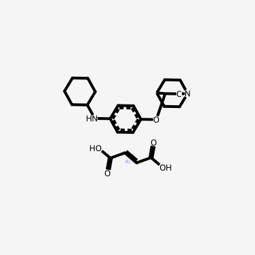 O=C(O)/C=C/C(=O)O.c1cc(OC2CN3CCC2CC3)ccc1NC1CCCCC1